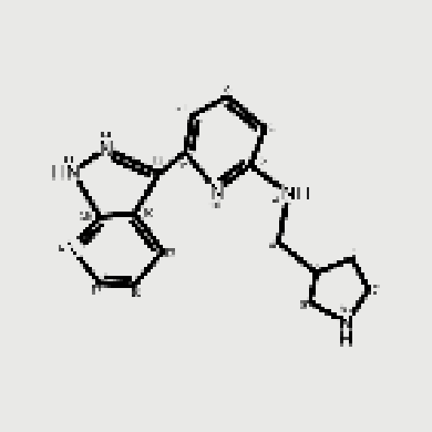 c1cc(NCC2CCNC2)nc(-c2n[nH]c3ncccc23)c1